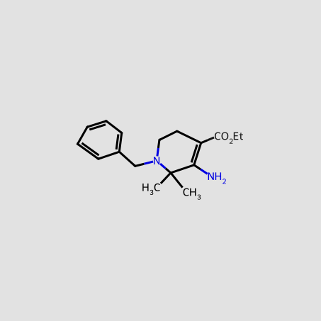 CCOC(=O)C1=C(N)C(C)(C)N(Cc2ccccc2)CC1